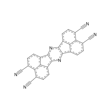 N#Cc1ccc2c3nc4c5ccc(C#N)c6c(C#N)ccc(c4nc3c3ccc(C#N)c1c23)c65